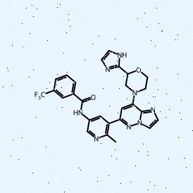 Cc1ncc(NC(=O)c2cccc(C(F)(F)F)c2)cc1-c1cc(N2CCOC(c3ncc[nH]3)C2)c2nccn2n1